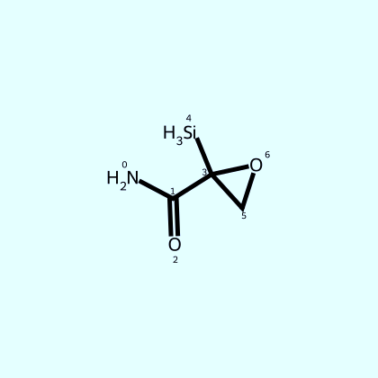 NC(=O)C1([SiH3])CO1